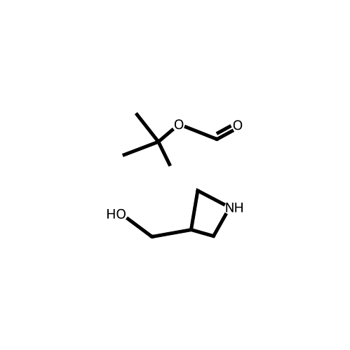 CC(C)(C)OC=O.OCC1CNC1